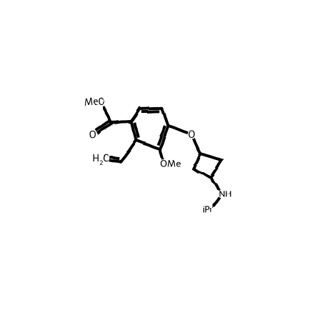 C=Cc1c(C(=O)OC)ccc(OC2CC(NC(C)C)C2)c1OC